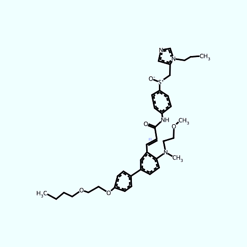 CCCCOCCOc1ccc(-c2ccc(N(C)CCOC)c(/C=C/C(=O)Nc3ccc([S+]([O-])Cc4cncn4CCC)cc3)c2)cc1